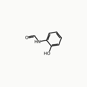 O=[C]Nc1ccccc1O